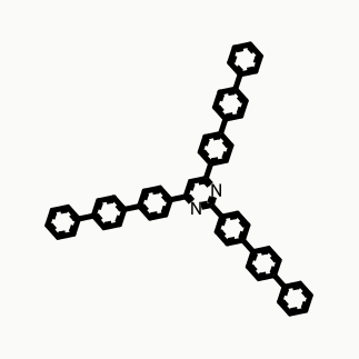 c1ccc(-c2ccc(-c3ccc(-c4cc(-c5ccc(-c6ccc(-c7ccccc7)cc6)cc5)nc(-c5ccc(-c6ccc(-c7ccccc7)cc6)cc5)n4)cc3)cc2)cc1